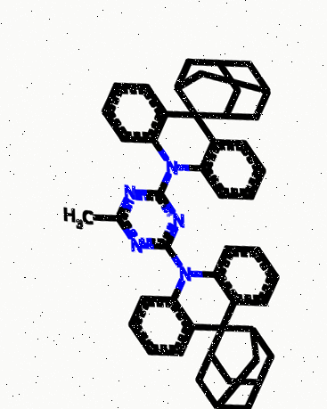 Cc1nc(N2c3ccccc3C3(c4ccccc42)C2CC4CC(C2)CC3C4)nc(N2c3ccccc3C3(c4ccccc42)C2CC4CC(C2)CC3C4)n1